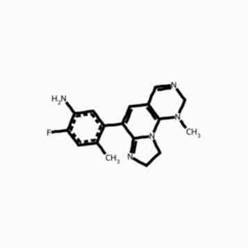 Cc1cc(F)c(N)cc1C1=CC2=C(N(C)CN=C2)N2CCN=C12